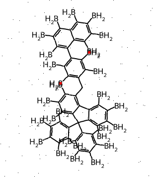 Bc1c(B)c(B)c(C2(c3c(B)c(B)c(B)c(B)c3B)c3c(B)c(B)c(B)c(B)c3-c3c(Cc4c(B)c(B)c(-c5c(B)c(B)c(B)c6c(B)c(B)c(B)c(B)c56)c(B)c4B)c(B)c(B)c(B)c32)c(B)c1B